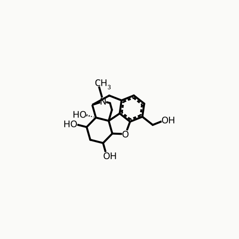 CN1CCC23c4c5ccc(CO)c4OC2C(O)CC(O)[C@@]3(O)C1C5